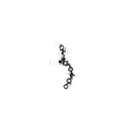 O=C(COC(=O)OC1(OC(=O)O)CCN(Cc2ccc(-c3noc(-c4ccc(-c5ccccc5)c(F)c4)n3)cc2)CC1)NC1CCC(O)CC1